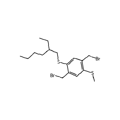 CCCCC(CC)CSc1cc(CBr)c(SC)cc1CBr